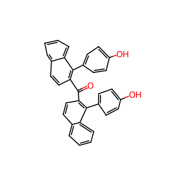 O=C(c1ccc2ccccc2c1-c1ccc(O)cc1)c1ccc2ccccc2c1-c1ccc(O)cc1